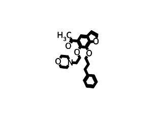 CC(=O)c1cc2ccoc2c(OCCCc2ccccc2)c1OCCN1CCOCC1